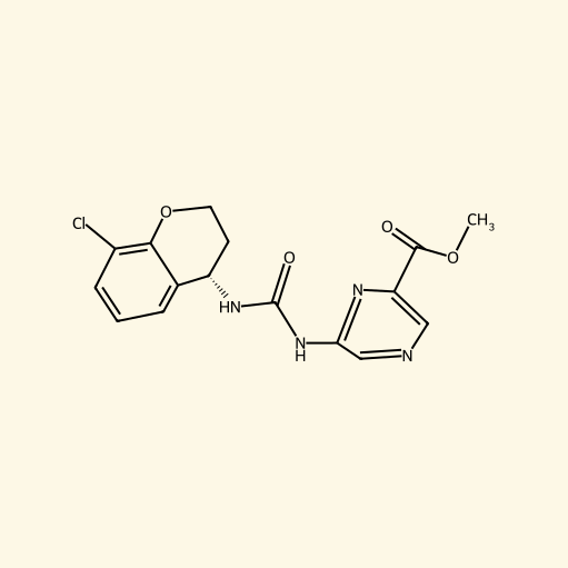 COC(=O)c1cncc(NC(=O)N[C@H]2CCOc3c(Cl)cccc32)n1